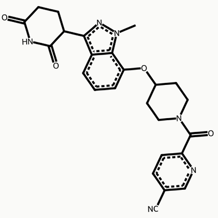 Cn1nc(C2CCC(=O)NC2=O)c2cccc(OC3CCN(C(=O)c4ccc(C#N)cn4)CC3)c21